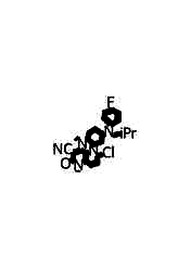 CC(C)CN(c1ccc(F)cc1)C1CCC(N(C)c2c(C#N)c(=O)n(C)c3ccc(Cl)nc23)CC1